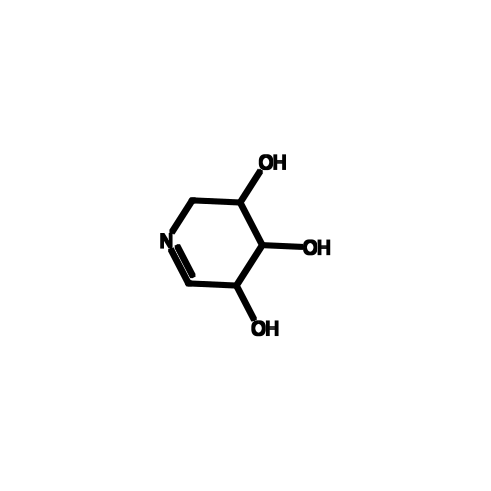 OC1C=NCC(O)C1O